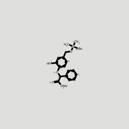 CCCc1cc(CO[Si](C)(C)C(C)(C)C)ccc1OC(C(=O)OC)c1ccccc1